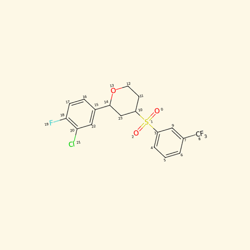 O=S(=O)(c1cccc(C(F)(F)F)c1)C1CCOC(c2ccc(F)c(Cl)c2)C1